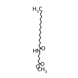 CCCCCCCCCCCCCCCC(=O)NCCCCC(=O)OC